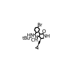 C[C@H](Nc1nc2c(C#CC3CC3)c[nH]c(=O)c2c2cc(Br)ccc12)C(C)(C)C